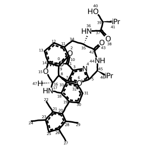 COC(=O)c1nc2oc1C13c4cc(ccc4O[C@@H]1Nc1c(-c4c(C)c(C)cc(C)c4C)cccc13)C[C@H](NC(=O)[C@@H](O)C(C)C)C(=O)N[C@H]2C(C)C